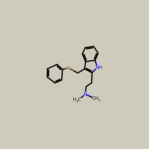 CN(C)CCc1[nH]c2ccccc2c1CSc1ccccc1